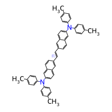 Cc1ccc(N(c2ccc(C)cc2)c2ccc3cc(/C=C/c4ccc5cc(N(c6ccc(C)cc6)c6ccc(C)cc6)ccc5c4)ccc3c2)cc1